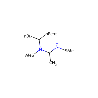 CCCCCC(CCCC)N(SC)C(C)NSC